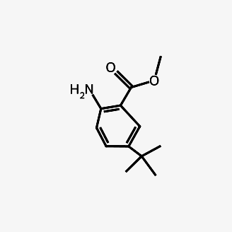 COC(=O)c1cc(C(C)(C)C)ccc1N